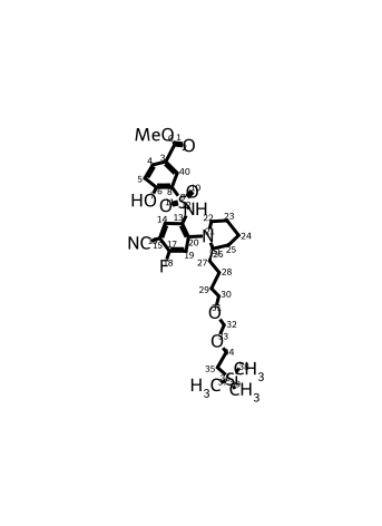 COC(=O)c1ccc(O)c(S(=O)(=O)Nc2cc(C#N)c(F)cc2N2CCCC[C@H]2CCCCOCOCC[Si](C)(C)C)c1